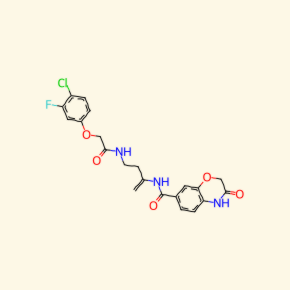 C=C(CCNC(=O)COc1ccc(Cl)c(F)c1)NC(=O)c1ccc2c(c1)OCC(=O)N2